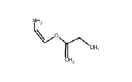 C=C(CC)O/C=C\N